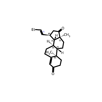 CC/C=C/[C@H]1CC(=O)[C@@]2(C)CC[C@H]3[C@@H](CCC4=CC(=O)CC[C@@]43C)[C@H]12